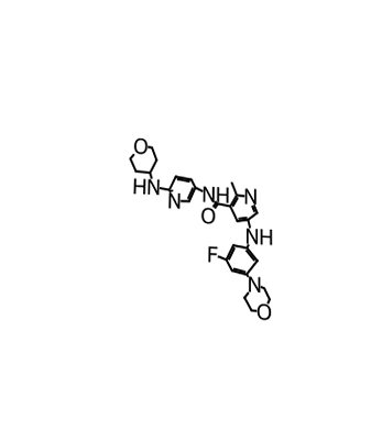 Cc1ncc(Nc2cc(F)cc(N3CCOCC3)c2)cc1C(=O)Nc1ccc(NC2CCOCC2)nc1